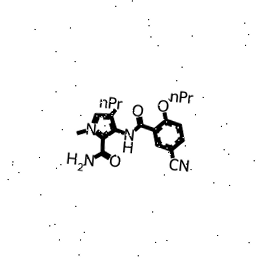 CCCOc1ccc(C#N)cc1C(=O)Nc1c(CCC)cn(C)c1C(N)=O